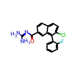 NC(N)=NC(=O)c1ccc2ccc(Cl)c(-c3ccccc3F)c2c1